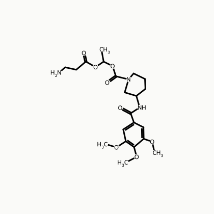 COc1cc(C(=O)NC2CCCN(C(=O)OC(C)OC(=O)CCN)C2)cc(OC)c1OC